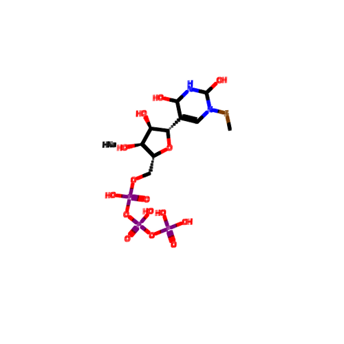 CSN1C=C([C@@H]2O[C@H](COP(=O)(O)OP(=O)(O)OP(=O)(O)O)[C@@H](O)[C@H]2O)C(O)NC1O.[NaH]